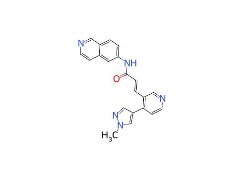 Cn1cc(-c2ccncc2C=CC(=O)Nc2ccc3cnccc3c2)cn1